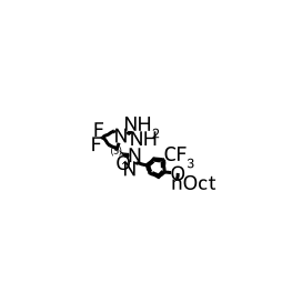 CCCCCCCCOc1ccc(-c2noc([C@@H]3CC(F)(F)CN3C(=N)N)n2)cc1C(F)(F)F